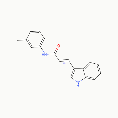 Cc1cccc(NC(=O)/C=C/c2c[nH]c3ccccc23)c1